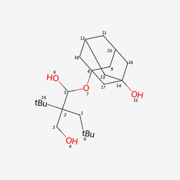 CC(C)(C)CC(CO)(C(O)OC12CC3CC(CC(O)(C3)C1)C2)C(C)(C)C